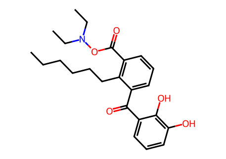 CCCCCCc1c(C(=O)ON(CC)CC)cccc1C(=O)c1cccc(O)c1O